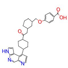 O=C(O)c1ccc(OCC2CCCC(CC(=O)C3CCC(c4ccnc5cnc6[nH]ccc6c45)CC3)C2)cc1